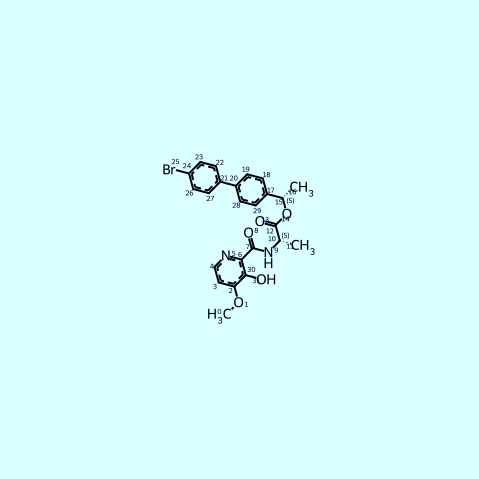 COc1ccnc(C(=O)N[C@@H](C)C(=O)O[C@@H](C)c2ccc(-c3ccc(Br)cc3)cc2)c1O